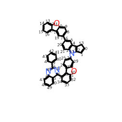 C1=Cc2c(c3cc(-c4ccc5oc6ccccc6c5c4)ccc3n2-c2ccc3c(c2)oc2cccc(-c4nc(-c5ccccc5)nc5ccccc45)c23)C1